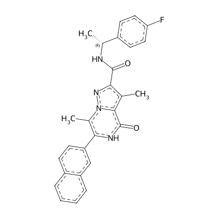 Cc1c(C(=O)N[C@H](C)c2ccc(F)cc2)nn2c(C)c(-c3ccc4ccccc4c3)[nH]c(=O)c12